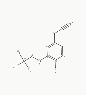 N#CCc1ccc(F)c(OCC(F)(F)F)c1